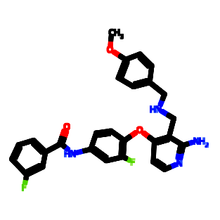 COc1ccc(CNCc2c(Oc3ccc(NC(=O)c4cccc(F)c4)cc3F)ccnc2N)cc1